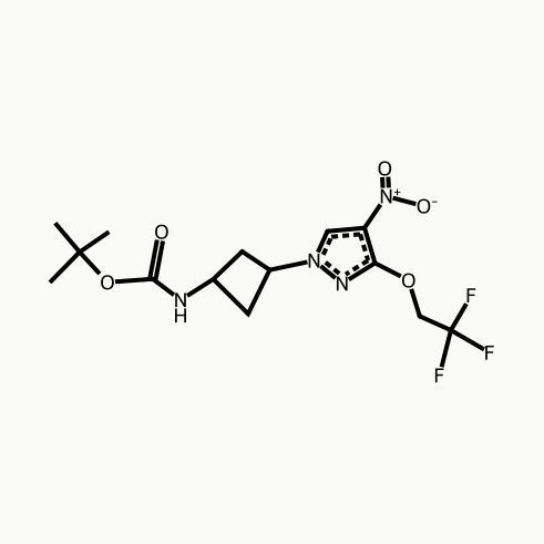 CC(C)(C)OC(=O)NC1CC(n2cc([N+](=O)[O-])c(OCC(F)(F)F)n2)C1